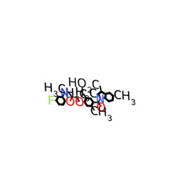 Cc1ccc2c(c1)c(CC(=O)O)c(C)n2C(=O)c1cc(C)c(OC[C@@H]2CN(C)c3cc(F)ccc3O2)cc1C